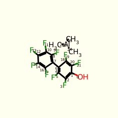 Oc1c(F)c(F)c(-c2c(F)c(F)c(F)c(F)c2F)c(F)c1F.[CH3][Al]([CH3])[CH3]